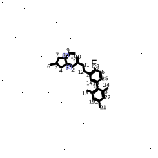 C=C(/C=C1/CC(C)C/C1=C/C)CCc1cc(-c2c(C)cc(C)cc2C)ccc1F